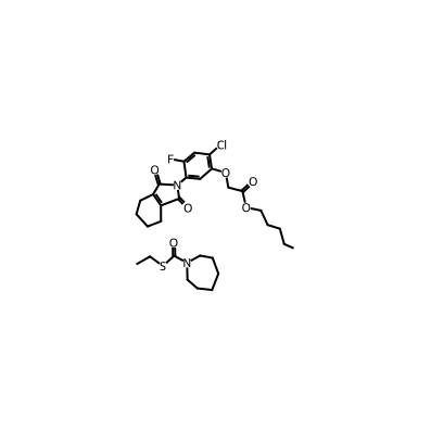 CCCCCOC(=O)COc1cc(N2C(=O)C3=C(CCCC3)C2=O)c(F)cc1Cl.CCSC(=O)N1CCCCCC1